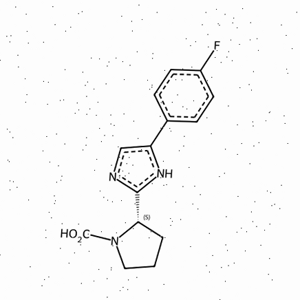 O=C(O)N1CCC[C@H]1c1ncc(-c2ccc(F)cc2)[nH]1